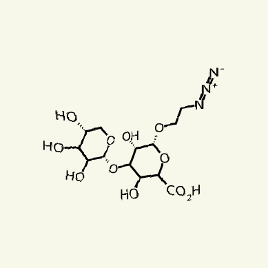 [N-]=[N+]=NCCO[C@@H]1OC(C(=O)O)[C@@H](O)C(O[C@H]2OC[C@@H](O)C(O)C2O)[C@@H]1O